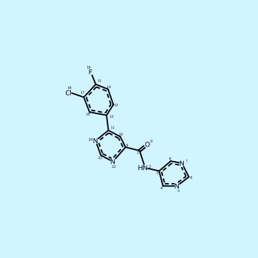 O=C(Nc1cncnc1)c1cc(-c2ccc(F)c(Cl)c2)ncn1